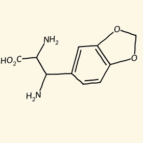 NC(C(=O)O)C(N)c1ccc2c(c1)OCO2